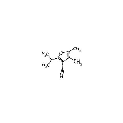 Cc1oc(C(C)C)c(C#N)c1C